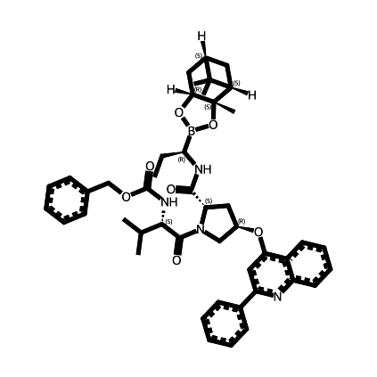 CC[C@H](NC(=O)[C@@H]1C[C@@H](Oc2cc(-c3ccccc3)nc3ccccc23)CN1C(=O)[C@@H](NC(=O)OCc1ccccc1)C(C)C)B1O[C@@H]2C[C@@H]3C[C@@H](C3(C)C)[C@]2(C)O1